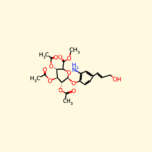 COC(=O)C1O[C@@H](Oc2ccc(/C=C/CO)cc2N)[C@H](OC(C)=O)[C@@H](OC(C)=O)[C@@H]1OC(C)=O